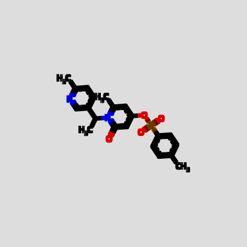 Cc1ccc(S(=O)(=O)Oc2cc(C)n(C(C)c3ccc(C)nc3)c(=O)c2)cc1